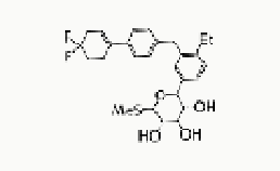 CCc1ccc(C2O[C@H](SC)[C@@H](O)[C@H](O)[C@H]2O)cc1Cc1ccc(C2=CCC(F)(F)CC2)cc1